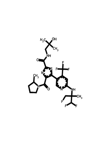 CC1CCCN1C(=O)c1nc(C(=O)NCC(C)(C)O)sc1-c1cnc(NC(C)(CF)C(F)F)cc1C(F)(F)F